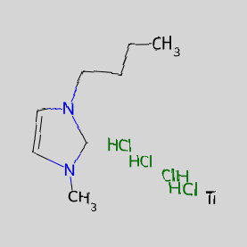 CCCCN1C=CN(C)C1.Cl.Cl.Cl.Cl.[Ti]